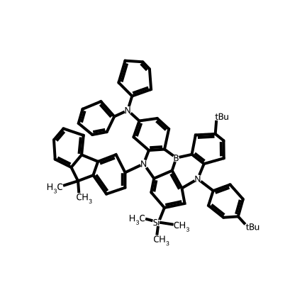 CC(C)(C)c1ccc(N2c3ccc(C(C)(C)C)cc3B3c4ccc(N(c5ccccc5)c5ccccc5)cc4N(c4ccc5c(c4)-c4ccccc4C5(C)C)c4cc([Si](C)(C)C)cc2c43)cc1